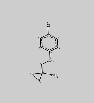 NC1(COc2ccc(Cl)cc2)CC1